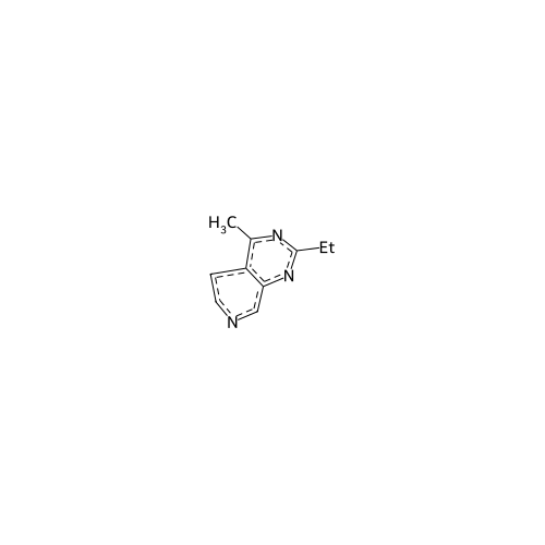 CCc1nc(C)c2ccncc2n1